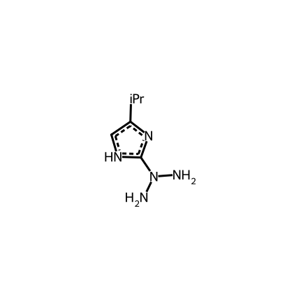 CC(C)c1c[nH]c(N(N)N)n1